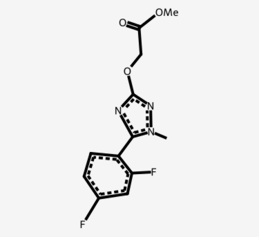 COC(=O)COc1nc(-c2ccc(F)cc2F)n(C)n1